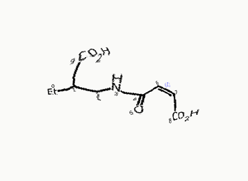 CCC(CNC(=O)/C=C\C(=O)O)C(=O)O